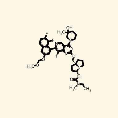 CCN(C)C(=O)O[C@H]1CC[C@@]2(COc3nc(N4CCC[C@@](C)(O)C4)c4cnc(-c5cc(OCOC)cc6ccc(F)c(F)c56)c(F)c4n3)CCCN12